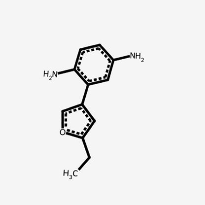 CCc1cc(-c2cc(N)ccc2N)co1